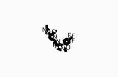 COc1nc(-c2nc3n(n2)CCN(C(C)=O)[C@H]3c2ccc(C(F)(F)F)cc2)ccc1-n1cnc(C)c1